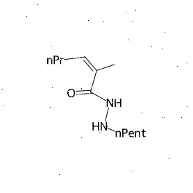 CCCC=C(C)C(=O)NNCCCCC